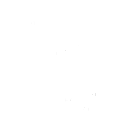 CC(C)(C)c1ccc(C(Cl)(Cl)c2cccc(Cl)c2)cc1